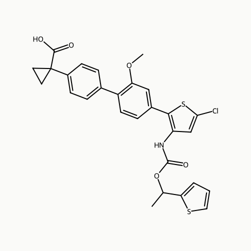 COc1cc(-c2sc(Cl)cc2NC(=O)OC(C)c2cccs2)ccc1-c1ccc(C2(C(=O)O)CC2)cc1